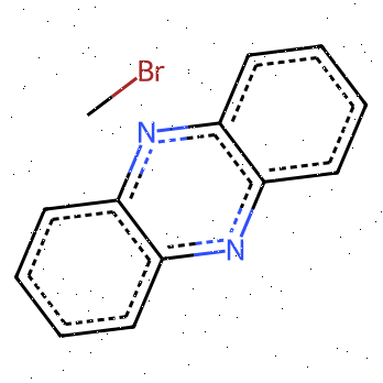 CBr.c1ccc2nc3ccccc3nc2c1